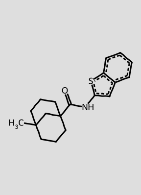 CC12CCCC(C(=O)Nc3cc4ccccc4s3)(CCC1)C2